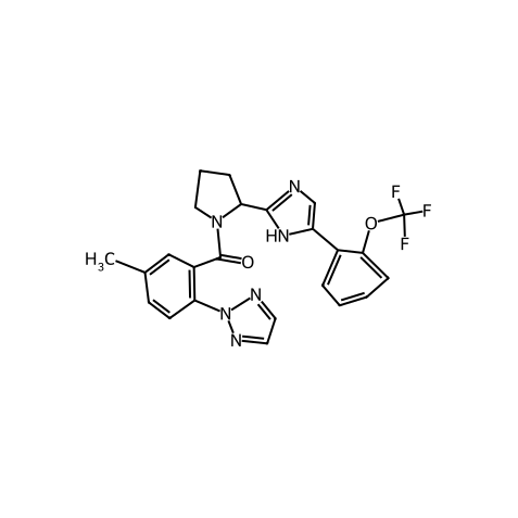 Cc1ccc(-n2nccn2)c(C(=O)N2CCCC2c2ncc(-c3ccccc3OC(F)(F)F)[nH]2)c1